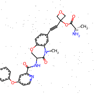 C[C@H](N)C(=O)OC1(C#Cc2ccc3c(c2)N(C)C(=O)C(NC(=O)c2cc(Oc4ccccc4)ccn2)CO3)COC1